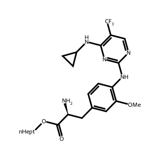 CCCCCCCOC(=O)[C@@H](N)Cc1ccc(Nc2ncc(C(F)(F)F)c(NC3CC3)n2)c(OC)c1